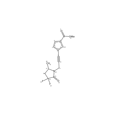 COC(=O)c1ccc(C#CCN2C(=O)C(F)(F)CC2C)s1